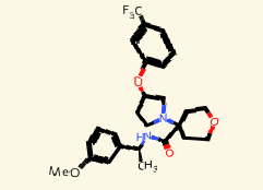 COc1cccc([C@H](C)NC(=O)C2(N3CCC(Oc4cccc(C(F)(F)F)c4)C3)CCOCC2)c1